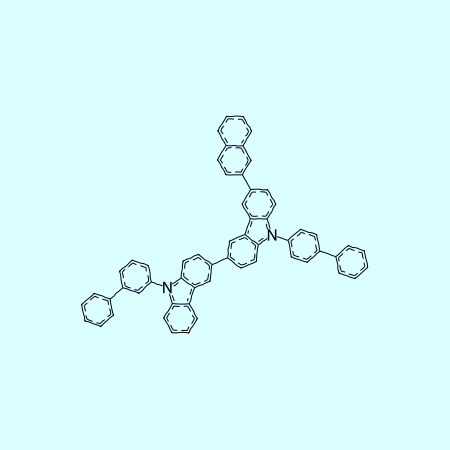 c1ccc(-c2ccc(-n3c4ccc(-c5ccc6ccccc6c5)cc4c4cc(-c5ccc6c(c5)c5ccccc5n6-c5cccc(-c6ccccc6)c5)ccc43)cc2)cc1